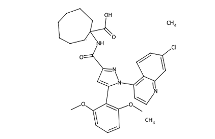 C.C.COc1cccc(OC)c1-c1cc(C(=O)NC2(C(=O)O)[CH]CCCCCC2)nn1-c1ccnc2cc(Cl)ccc12